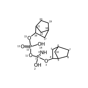 N=P(O)(OC1CC2CCC1C2)OP(=O)(O)OC1CC2CCC1C2